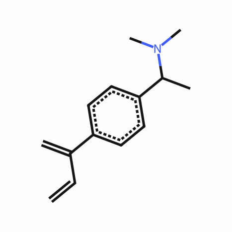 C=CC(=C)c1ccc(C(C)N(C)C)cc1